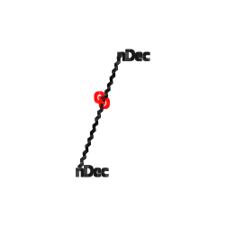 CCCCCCCCCCCCCCCCCCCCCCCCCCCCCOC(=O)CCCCCCCCCCCCCCCCCCCCCC